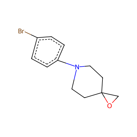 Brc1ccc(N2CCC3(CC2)CO3)cc1